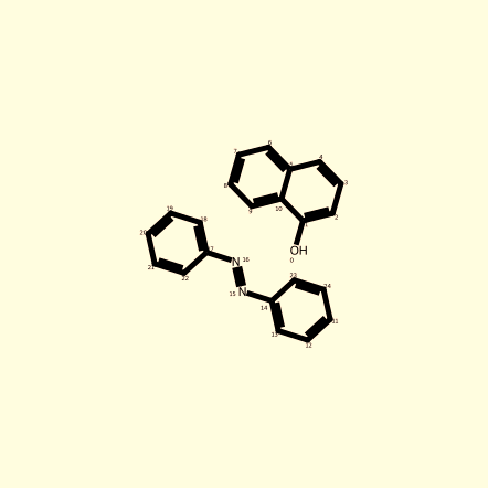 Oc1cccc2ccccc12.c1ccc(N=Nc2ccccc2)cc1